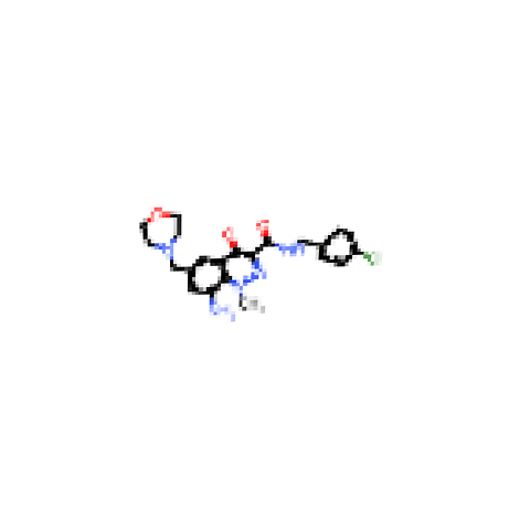 Cn1nc(C(=O)NCc2ccc(Cl)cc2)c(=O)c2cc(CN3CCOCC3)cc(N)c21